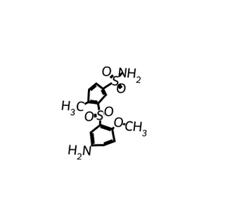 COc1ccc(N)cc1S(=O)(=O)c1cc(S(N)(=O)=O)ccc1C